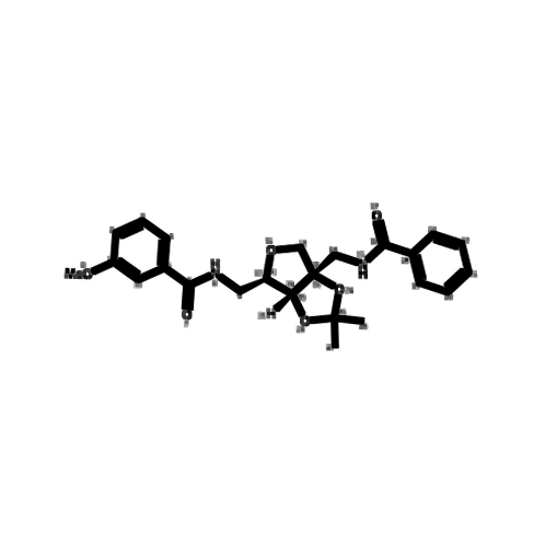 COc1cccc(C(=O)NC[C@H]2OC[C@]3(CNC(=O)c4ccccc4)OC(C)(C)O[C@H]23)c1